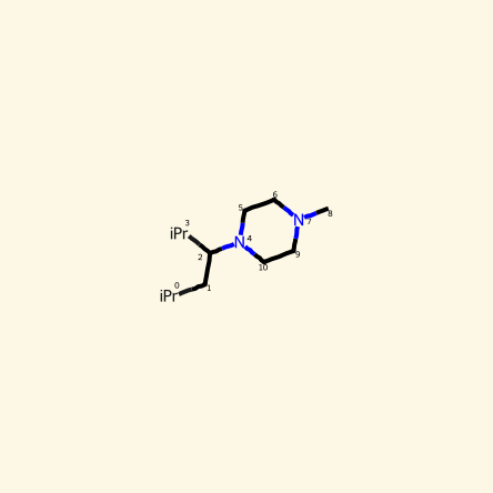 CC(C)CC(C(C)C)N1CCN(C)CC1